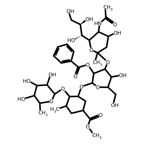 COC(=O)C1CC(C)C(OC2OC(C)C(O)C(O)C2O)C(OC2OC(CO)C(O)C(OC3(C)CC(O)C(NC(C)=O)C([C@H](O)[C@H](O)CO)O3)C2OC(=O)c2ccccc2)C1